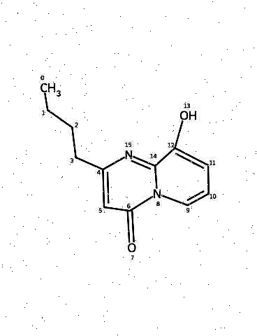 CCCCc1cc(=O)n2cccc(O)c2n1